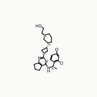 C[C@@H](Nc1nc(N2CC([C@H]3CCCN(CCO)C3)C2)nc2c1CCC2)c1ccc(Cl)cc1Cl